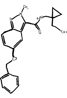 Cn1nc2ccc(OCc3ccccc3)cc2c1C(=O)NC1(CO)CC1